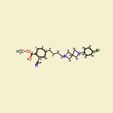 COC(=O)c1ccc(CCCCN2CC3(C2)CN(c2ccc(Br)cc2)C3)cc1C#N